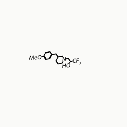 COc1ccc(CC2CCCN(CC(O)C(F)(F)F)C2)cc1